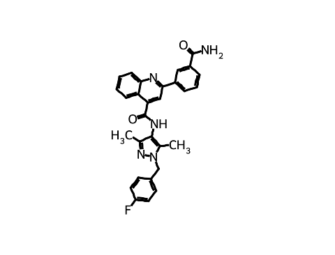 Cc1nn(Cc2ccc(F)cc2)c(C)c1NC(=O)c1cc(-c2cccc(C(N)=O)c2)nc2ccccc12